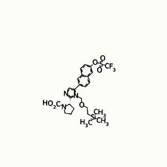 C[Si](C)(C)CCOCn1c(-c2ccc3cc(OS(=O)(=O)C(F)(F)F)ccc3c2)cnc1[C@@H]1CCCN1C(=O)O